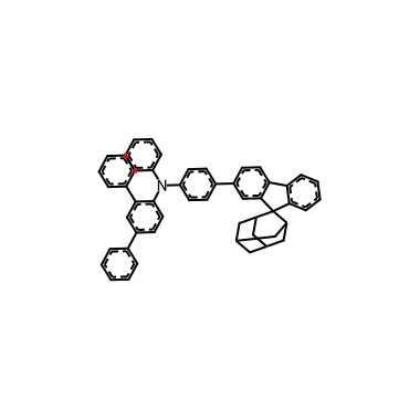 c1ccc(-c2ccc(N(c3ccccc3)c3ccc(-c4ccc5c(c4)C4(c6ccccc6-5)C5CC6CC(C5)CC4C6)cc3)c(-c3ccccc3)c2)cc1